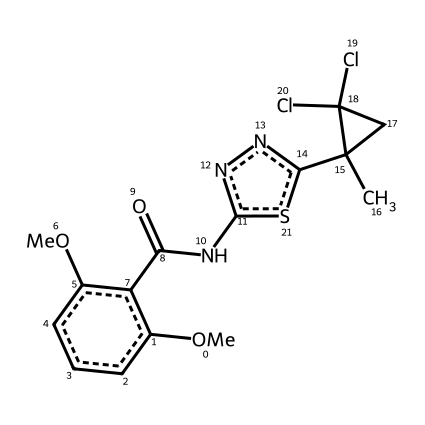 COc1cccc(OC)c1C(=O)Nc1nnc(C2(C)CC2(Cl)Cl)s1